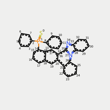 S=P(c1ccccc1)(c1ccccc1)c1cccc2cc3c4ccccc4n4c5ccccc5nc4c3cc12